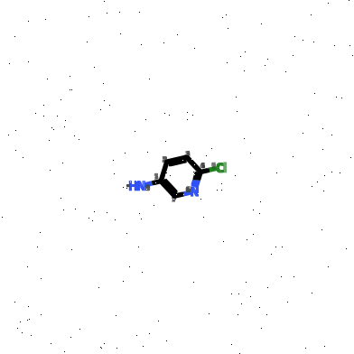 [NH]c1ccc(Cl)nc1